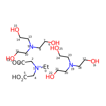 CC[N+](CC(=O)[O-])CC(=O)O.OCCN(CCO)CCO.OCCN(CCO)CCO